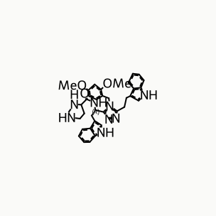 COc1ccc(Cn2c(CCc3c[nH]c4ccccc34)nnc2[C@@H](Cc2c[nH]c3ccccc23)NC(=O)C2CCNCN2)c(OC)c1